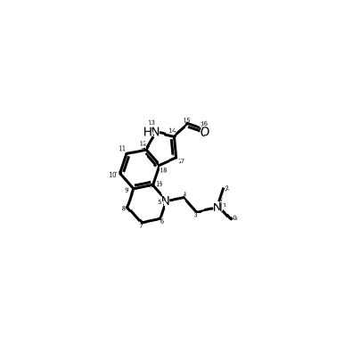 CN(C)CCN1CCCc2ccc3[nH]c(C=O)cc3c21